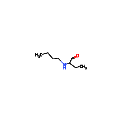 CCCCNC(C=O)CC